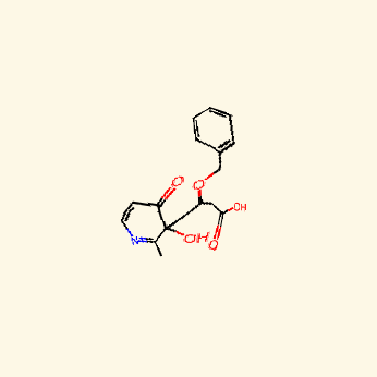 CC1=NC=CC(=O)C1(O)C(OCc1ccccc1)C(=O)O